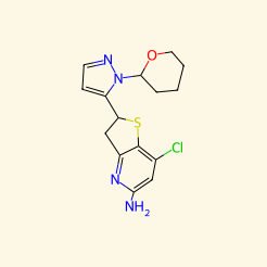 Nc1cc(Cl)c2c(n1)CC(c1ccnn1C1CCCCO1)S2